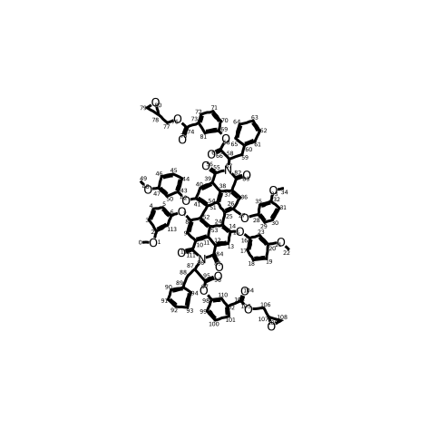 COc1cccc(Oc2cc3c4c(cc(Oc5cccc(OC)c5)c5c6c(Oc7cccc(OC)c7)cc7c8c(cc(Oc9cccc(OC)c9)c(c2c45)c86)C(=O)N(C(Cc2ccccc2)C(=O)Oc2cccc(C(=O)OCC4CO4)c2)C7=O)C(=O)N(C(Cc2ccccc2)C(=O)Oc2cccc(C(=O)OCC4CO4)c2)C3=O)c1